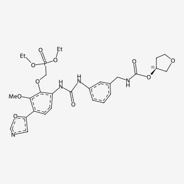 CCOP(=O)(COc1c(NC(=O)Nc2cccc(CNC(=O)O[C@H]3CCOC3)c2)ccc(-c2cnco2)c1OC)OCC